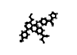 CCOC(=O)CN(Cc1cc(C(=O)OC)ccc1NCc1ccc(C(=O)N2CC=CC2)cc1)C(=O)c1ccc(Cl)cc1